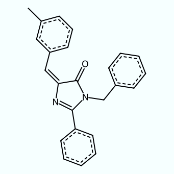 Cc1cccc(/C=C2/N=C(c3ccccc3)N(Cc3ccccc3)C2=O)c1